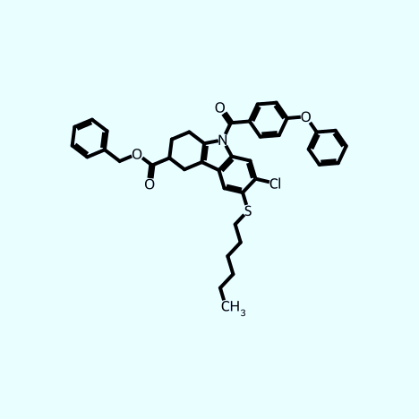 CCCCCCSc1cc2c3c(n(C(=O)c4ccc(Oc5ccccc5)cc4)c2cc1Cl)CCC(C(=O)OCc1ccccc1)C3